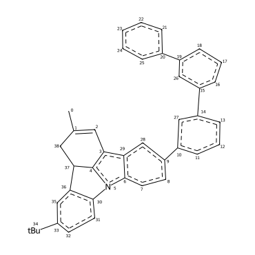 CC1=Cc2c3n(c4ccc(-c5cccc(-c6cccc(-c7ccccc7)c6)c5)cc24)-c2ccc(C(C)(C)C)cc2C3C1